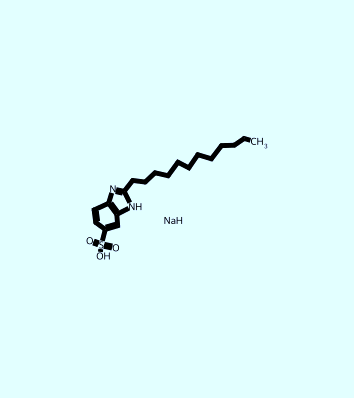 CCCCCCCCCCCCc1nc2ccc(S(=O)(=O)O)cc2[nH]1.[NaH]